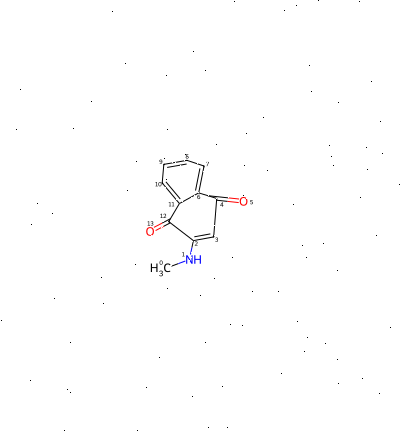 CNC1=CC(=O)c2ccccc2C1=O